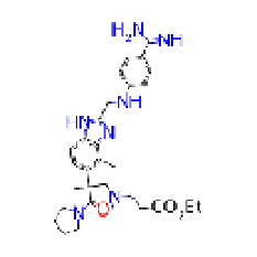 CCOC(=O)CCN(C)CC(C)(C(=O)N1CCCC1)c1ccc2[nH]c(CNc3ccc(C(=N)N)cc3)nc2c1C